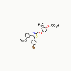 COc1cccc(-c2nc(COc3ccc(OCC(=O)O)c(C)c3)sc2-c2ccc(Br)cc2)c1